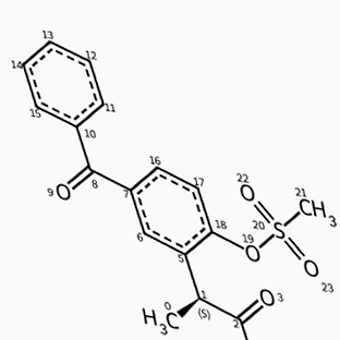 C[C@H](C(=O)O)c1cc(C(=O)c2ccccc2)ccc1OS(C)(=O)=O